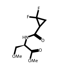 COC[C@@H](NC(=O)C1CC1(F)F)C(=O)OC